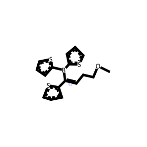 COCC/C=C(\B(c1cccs1)c1cccs1)c1cccs1